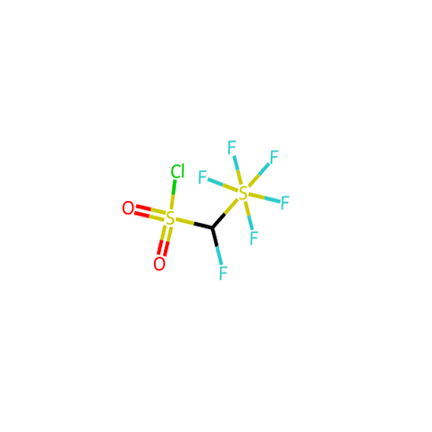 O=S(=O)(Cl)C(F)S(F)(F)(F)(F)F